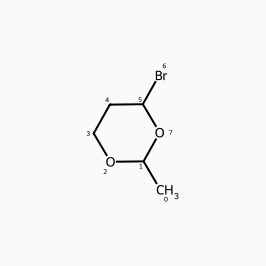 CC1OCCC(Br)O1